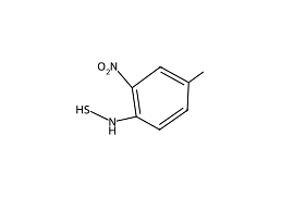 Cc1ccc(NS)c([N+](=O)[O-])c1